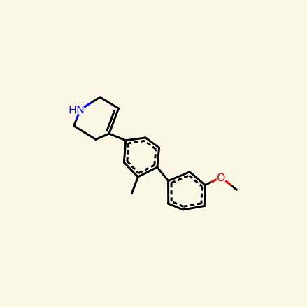 COc1cccc(-c2ccc(C3=CCNCC3)cc2C)c1